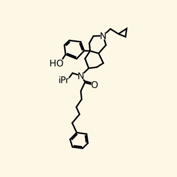 CC(C)CN(C(=O)CCCCCc1ccccc1)C1CCC2CN(CC3CC3)CCC2(c2cccc(O)c2)C1